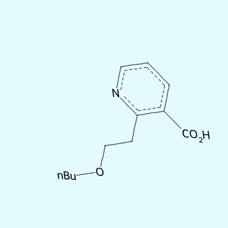 CCCCOCCc1ncccc1C(=O)O